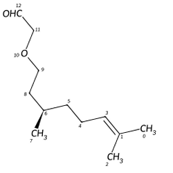 CC(C)=CCC[C@@H](C)CCOCC=O